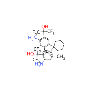 Cc1cc(N)c(C(O)(C(F)(F)F)C(F)(F)F)cc1C1(c2cc(C(O)(C(F)(F)F)C(F)(F)F)c(N)cc2C)CCCCC1